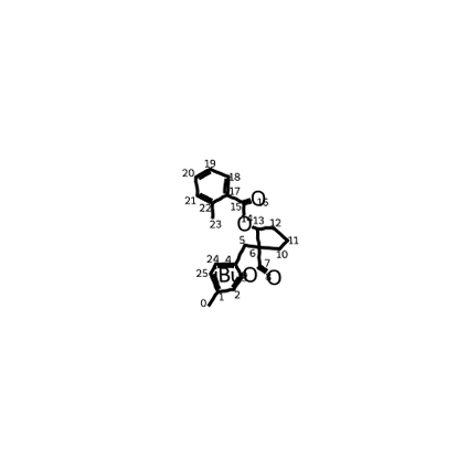 Cc1ccc(CC2(C(=O)OCC(C)C)CCCC2OC(=O)c2ccccc2C)cc1